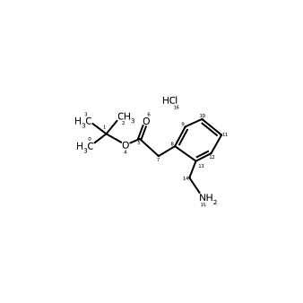 CC(C)(C)OC(=O)Cc1ccccc1CN.Cl